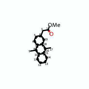 COC(=O)Cc1ccc2c(C)c3ccccc3c(C)c2c1